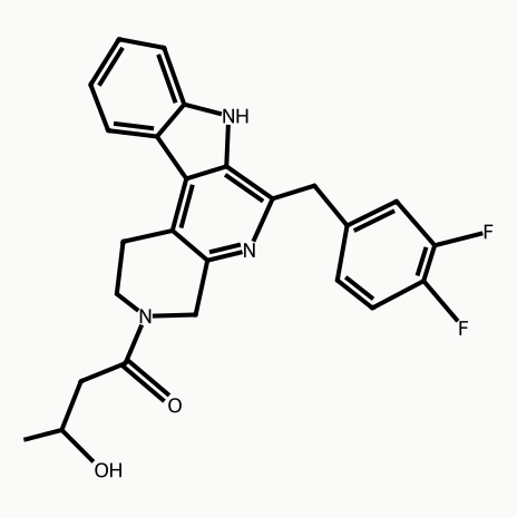 CC(O)CC(=O)N1CCc2c(nc(Cc3ccc(F)c(F)c3)c3[nH]c4ccccc4c23)C1